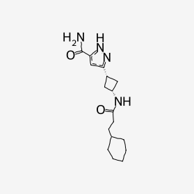 NC(=O)c1cc([C@H]2C[C@@H](NC(=O)CCC3CCCCC3)C2)n[nH]1